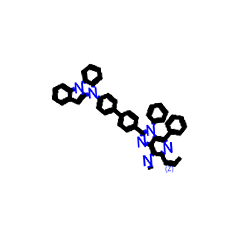 C=Nc1c(/C=C\C)nc(-c2ccccc2)c2c1nc(-c1ccc(-c3ccc(-n4c5ccccc5n5c6ccccc6cc45)cc3)cc1)n2-c1ccccc1